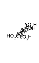 O=C(Nc1ccc2c(O)cc(S(=O)(=O)O)cc2c1)c1ccc(C(=O)O)c(C(=O)O)c1